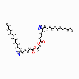 [CH2]C(COC(=O)CCCCC1(CCCCCCCCCCCC)N=N1)OC(=O)CCCCC1(CCCCCCCCCCCC)N=N1